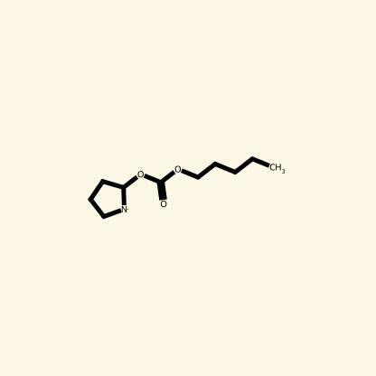 CCCCCOC(=O)OC1CCC[N]1